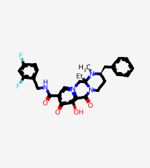 CCC12Cn3cc(C(=O)NCc4ccc(F)cc4F)c(=O)c(O)c3C(=O)N1CC[C@H](Cc1ccccc1)N2C